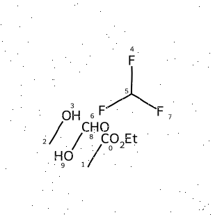 CCOC(C)=O.CO.FC(F)F.O=CO